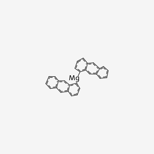 c1ccc2cc3[c]([Mg][c]4cccc5cc6ccccc6cc45)cccc3cc2c1